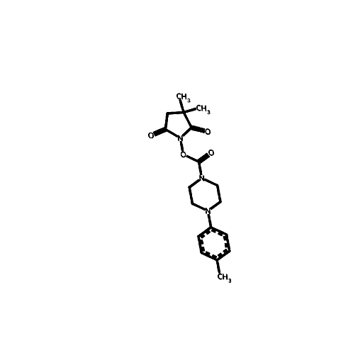 Cc1ccc(N2CCN(C(=O)ON3C(=O)CC(C)(C)C3=O)CC2)cc1